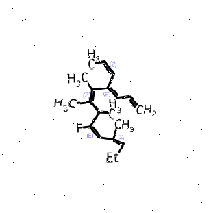 C=C/C=C(\C=C/C)C(/C)=C(/C)C(C)/C(F)=C\C(C)=C/CC